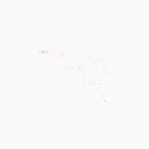 O=COCc1cccc(I)c1